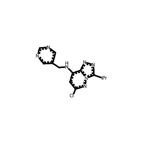 CC(C)c1nnc2c(NCc3cncnc3)cc(Cl)nn12